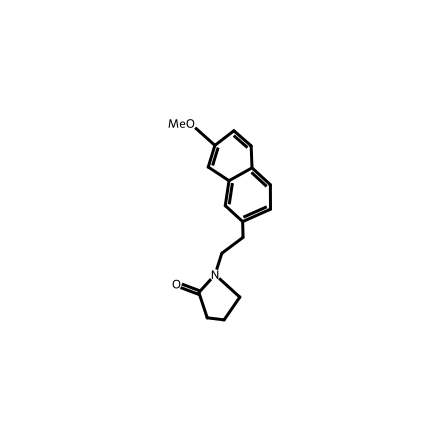 COc1ccc2ccc(CCN3CCCC3=O)cc2c1